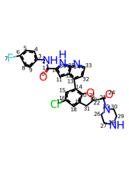 O=C(Nc1ccc(F)cc1)c1cc2c(-c3cc(Cl)cc4c3O[C@@H](C(=O)N3CCNCC3)C4)ccnc2[nH]1